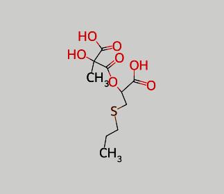 CCCSCC(OC(=O)C(C)(O)C(=O)O)C(=O)O